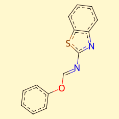 C(=Nc1nc2ccccc2s1)Oc1ccccc1